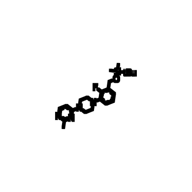 Cc1nccc(N2CCN(c3cccc(CO[Si](C)(C)C(C)(C)C)c3F)CC2)n1